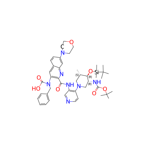 C[C@H]1CN(c2ccncc2NC(=O)c2nc3cc(N4CCOCC4)ccc3cc2N(Cc2ccccc2)C(=O)O)C[C@@H](NC(=O)OC(C)(C)C)[C@@H]1O[Si](C)(C)C(C)(C)C